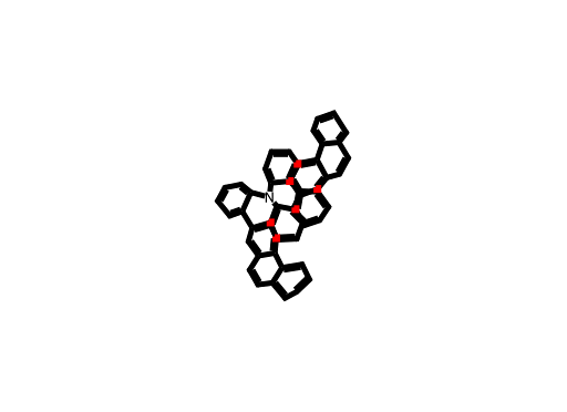 c1ccc(-c2ccccc2N(c2ccccc2-c2ccc3c(ccc4ccccc43)c2)c2ccccc2-c2ccc3c(ccc4ccccc43)c2)cc1